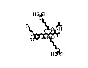 COCCCOc1cc(CC(CC(NC(=O)CCCCCON(O)O)C(CC(C(=O)NCC(C)C)C(C)C)OC(=O)CCCCCON(O)O)C(C)C)ccc1OC